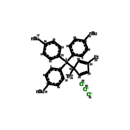 CCCCc1ccc([Si](c2ccc(CCCC)cc2)(c2ccc(CCCC)cc2)[C]2([Ti+3])C=CC(CC)=C2)cc1.[Cl-].[Cl-].[Cl-]